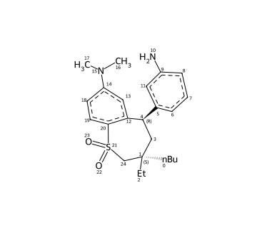 CCCC[C@@]1(CC)C[C@H](c2cccc(N)c2)c2cc(N(C)C)ccc2S(=O)(=O)C1